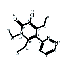 CCc1c(-c2cccnn2)c(CC)n(CC)c(=O)c1Cl